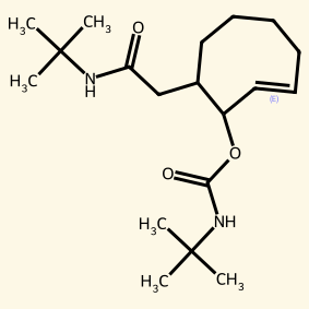 CC(C)(C)NC(=O)CC1CCCC/C=C/C1OC(=O)NC(C)(C)C